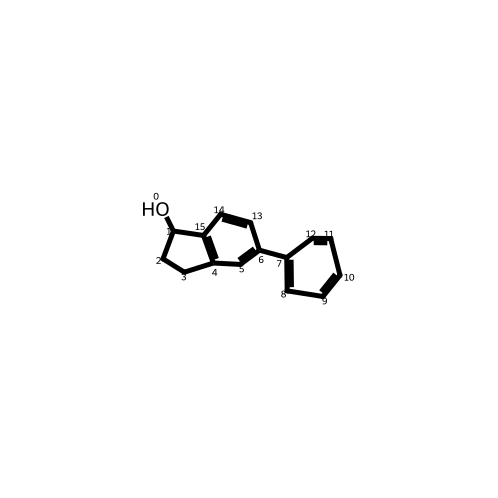 OC1CCc2cc(-c3ccccc3)ccc21